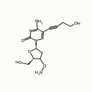 NOC1C[C@H](n2cc(C#CCCO)c(N)nc2=O)O[C@@H]1CO